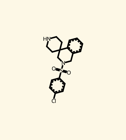 O=S(=O)(c1ccc(Cl)cc1)N1Cc2ccccc2C2(CCNCC2)C1